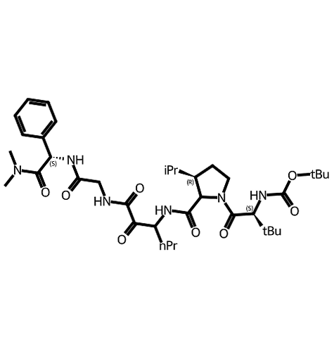 CCCC(NC(=O)C1[C@@H](C(C)C)CCN1C(=O)[C@@H](NC(=O)OC(C)(C)C)C(C)(C)C)C(=O)C(=O)NCC(=O)N[C@H](C(=O)N(C)C)c1ccccc1